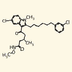 CONC(=O)C[C@H](C)CC(=O)c1c(CCCCCCc2cccc(Cl)c2)n(C)c2ccc(Cl)cc12